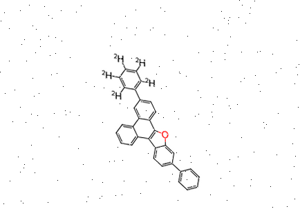 [2H]c1c([2H])c([2H])c(-c2ccc3c(c2)c2ccccc2c2c4ccc(-c5ccccc5)cc4oc32)c([2H])c1[2H]